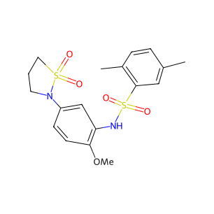 COc1ccc(N2CCCS2(=O)=O)cc1NS(=O)(=O)c1cc(C)ccc1C